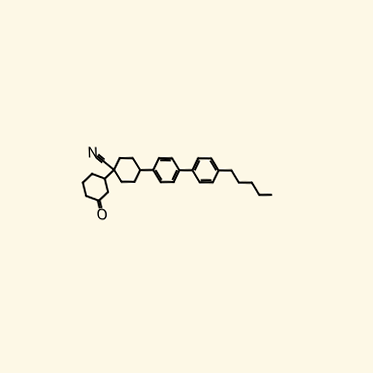 CCCCCc1ccc(-c2ccc(C3CCC(C#N)(C4CCCC(=O)C4)CC3)cc2)cc1